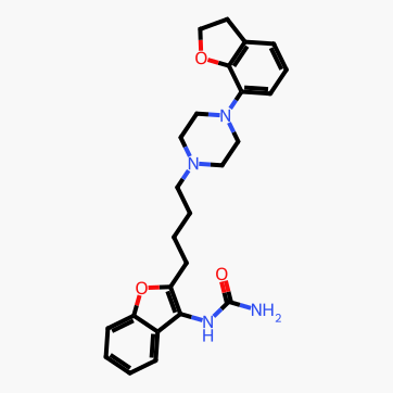 NC(=O)Nc1c(CCCCN2CCN(c3cccc4c3OCC4)CC2)oc2ccccc12